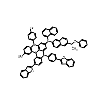 CC(C)c1ccc(N2c3ccc(C(C)(C)C)cc3B3c4cc(-c5cc6ccccc6o5)ccc4N(c4ccc(-c5cc6ccccc6o5)cc4)c4cc(N(c5ccc6cc([C@@H](C)Oc7ccccc7)ccc6c5)c5cccc6ccccc56)cc2c43)cc1